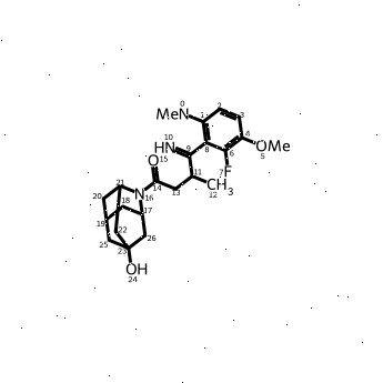 CNc1ccc(OC)c(F)c1C(=N)C(C)CC(=O)N1C2CC3CC1CC(O)(C3)C2